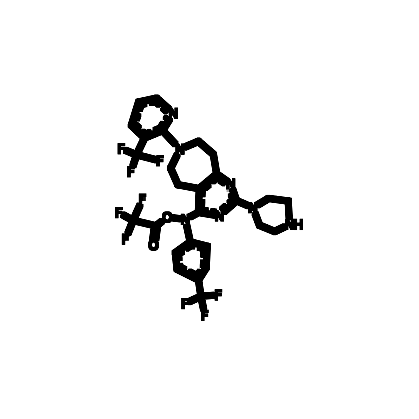 O=C(ON(c1ccc(C(F)(F)F)cc1)c1nc(N2CCNCC2)nc2c1CCN(c1ncccc1C(F)(F)F)CC2)C(F)(F)F